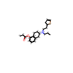 CCCN(CCC1CC=CS1)[C@H]1CCc2c(cccc2OC(=O)CC)C1